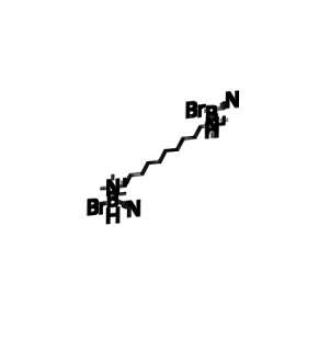 C[N+](C)(CCCCCCCCCC[N+](C)(C)[BH-](Br)C#N)[BH-](Br)C#N